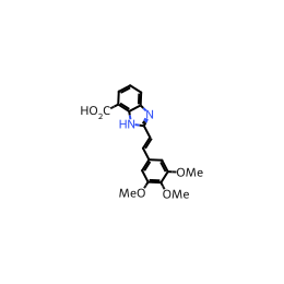 COc1cc(C=Cc2nc3cccc(C(=O)O)c3[nH]2)cc(OC)c1OC